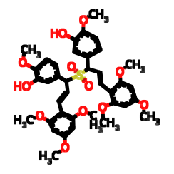 COc1cc(OC)c(C=CC(c2ccc(OC)c(O)c2)S(=O)(=O)C(C=Cc2c(OC)cc(OC)cc2OC)c2ccc(OC)c(O)c2)c(OC)c1